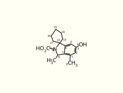 Cc1cc(O)cc2c1C(C)N(C(=O)O)C21CCCCC1